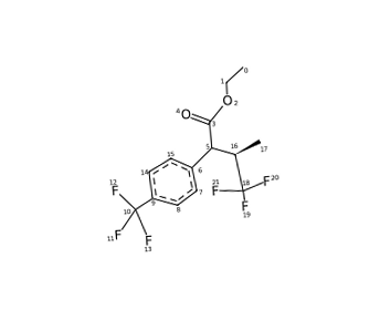 CCOC(=O)C(c1ccc(C(F)(F)F)cc1)[C@@H](C)C(F)(F)F